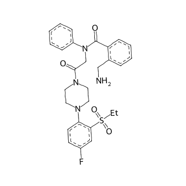 CCS(=O)(=O)c1cc(F)ccc1N1CCN(C(=O)CN(C(=O)c2ccccc2CN)c2ccccc2)CC1